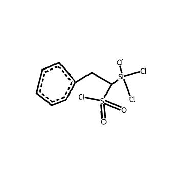 O=S(=O)(Cl)C(Cc1ccccc1)[Si](Cl)(Cl)Cl